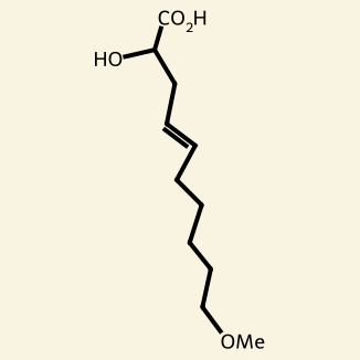 COCCCCCC=CCC(O)C(=O)O